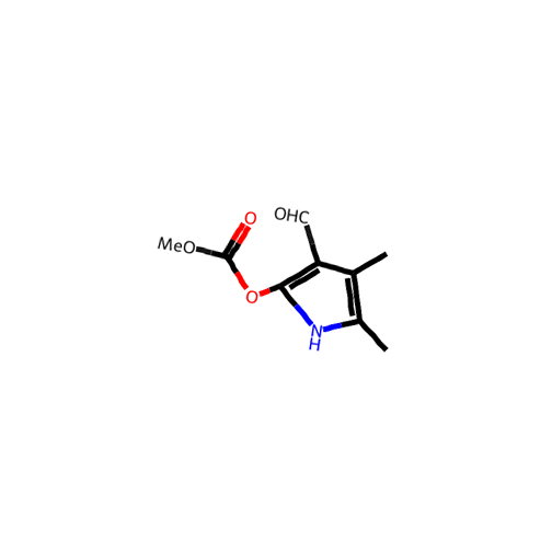 COC(=O)Oc1[nH]c(C)c(C)c1C=O